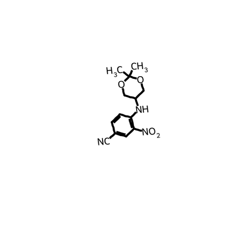 CC1(C)OCC(Nc2ccc(C#N)cc2[N+](=O)[O-])CO1